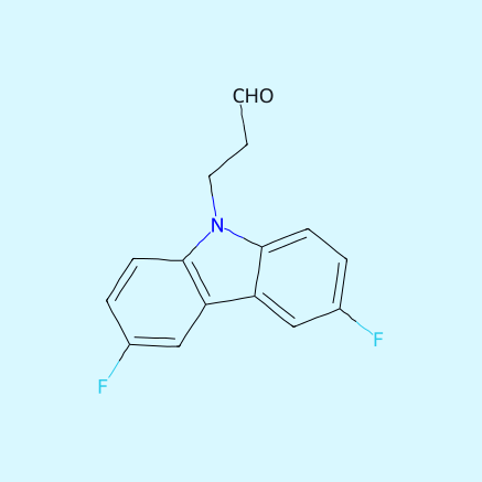 O=CCCn1c2ccc(F)cc2c2cc(F)ccc21